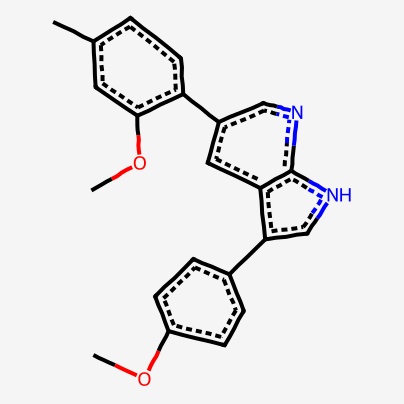 COc1ccc(-c2c[nH]c3ncc(-c4ccc(C)cc4OC)cc23)cc1